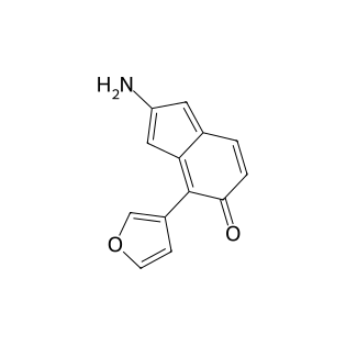 NC1=CC2=C(c3ccoc3)C(=O)C=CC2=C1